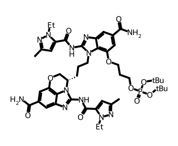 CCn1nc(C)cc1C(=O)Nc1nc2cc(C(N)=O)cc(OCCCOP(=O)(OC(C)(C)C)OC(C)(C)C)c2n1CCC[C@H]1COc2cc(C(N)=O)cc3nc(NC(=O)c4cc(C)nn4CC)n1c23